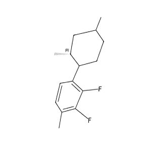 Cc1ccc(C2CCC(C)C[C@H]2C)c(F)c1F